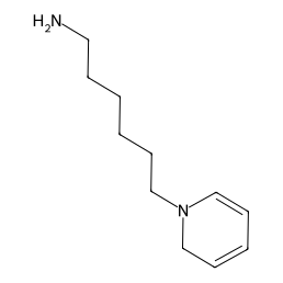 NCCCCCCN1C=CC=CC1